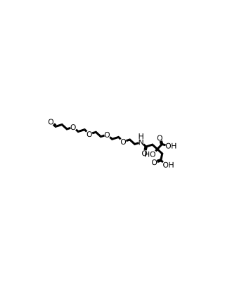 O=CCCOCCOCCOCCOCCNC(=O)CC(O)(CC(=O)O)C(=O)O